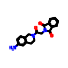 Nc1ccc2c(c1)CCN(C(=O)CN1C(=O)c3ccccc3C1=O)C2